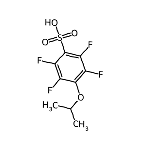 CC(C)Oc1c(F)c(F)c(S(=O)(=O)O)c(F)c1F